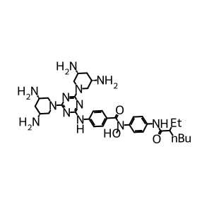 CCCCC(CC)C(=O)Nc1ccc(N(O)C(=O)c2ccc(Nc3nc(N4C[C@H](N)C[C@H](N)C4)nc(N4C[C@H](N)C[C@H](N)C4)n3)cc2)cc1